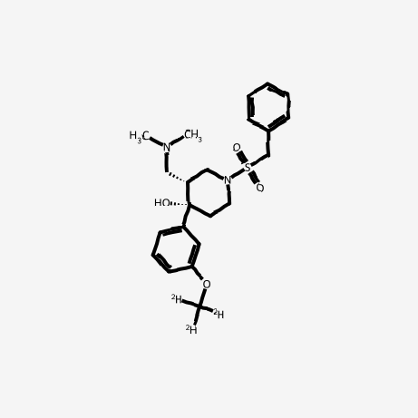 [2H]C([2H])([2H])Oc1cccc([C@]2(O)CCN(S(=O)(=O)Cc3ccccc3)C[C@H]2CN(C)C)c1